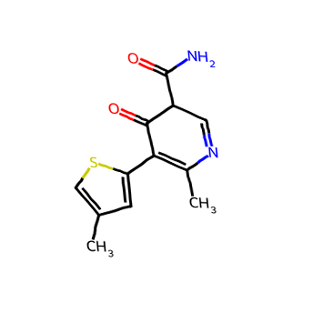 CC1=C(c2cc(C)cs2)C(=O)C(C(N)=O)C=N1